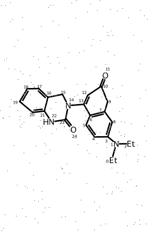 CCN(CC)c1ccc2c(c1)CC(=O)C=C2N1Cc2ccccc2NC1=O